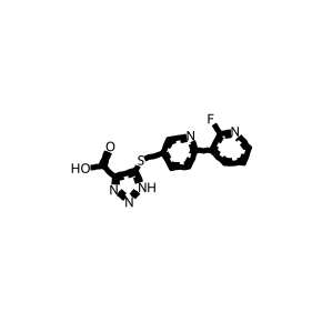 O=C(O)c1nn[nH]c1Sc1ccc(-c2cccnc2F)nc1